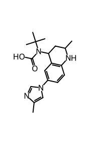 Cc1cn(-c2ccc3c(c2)C(N(C(=O)O)C(C)(C)C)CC(C)N3)cn1